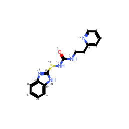 O=C(NCCc1ccccn1)NSc1nc2ccccc2[nH]1